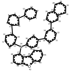 c1ccc(-c2cccc(-c3cccc(N(c4ccc(-c5cccc(-c6ccc7ccccc7c6)c5)cc4)c4cccc5oc6ccccc6c45)c3)c2)cc1